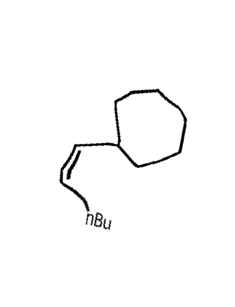 CCCC/C=C\C1CCCCC1